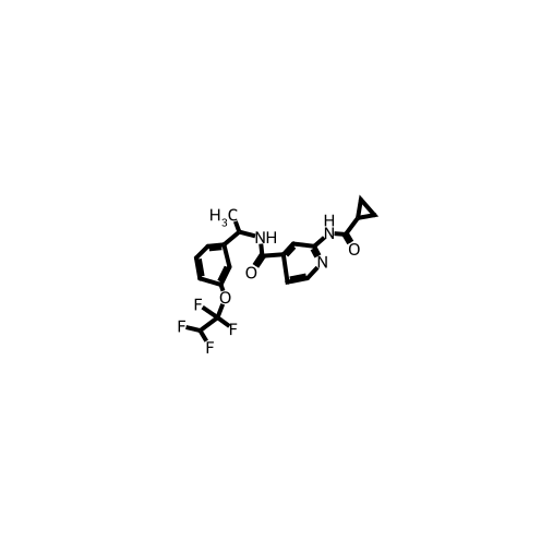 CC(NC(=O)c1ccnc(NC(=O)C2CC2)c1)c1cccc(OC(F)(F)C(F)F)c1